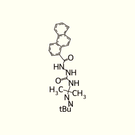 CC(C)(C)/N=N/C(C)(C)NC(=O)NNC(=O)c1cccc2c1ccc1ccccc12